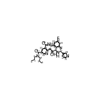 CCCN(CCC)C(=O)c1cnc([C@H](Cc2cc(F)cc(F)c2)[C@@H](O)CNCc2cncs2)c(C(N)=O)c1